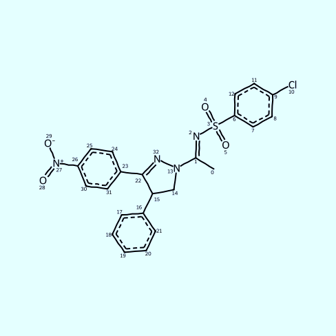 C/C(=N\S(=O)(=O)c1ccc(Cl)cc1)N1CC(c2ccccc2)C(c2ccc([N+](=O)[O-])cc2)=N1